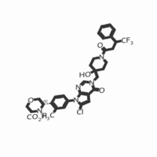 O=C(CC(c1ccccc1)C(F)(F)F)N1CCC(O)(Cn2cnc3c(cc(Cl)n3-c3ccc([C@H]4COCCN4C(=O)O)c(C(F)(F)F)c3)c2=O)CC1